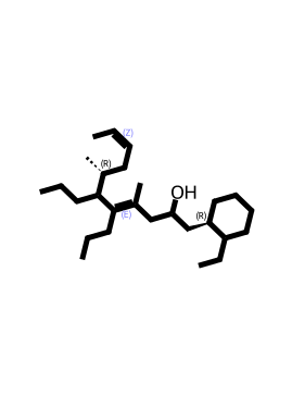 C/C=C\C[C@@H](C)C(CCC)/C(CCC)=C(\C)CC(O)C[C@H]1CCCCC1CC